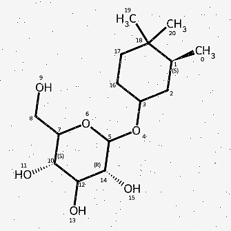 C[C@H]1CC(OC2OC(CO)[C@@H](O)C(O)[C@H]2O)CCC1(C)C